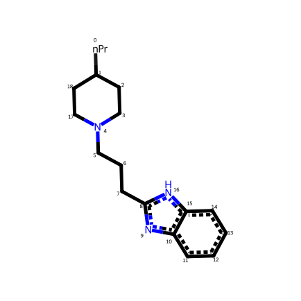 CCCC1CCN(CCCc2nc3ccccc3[nH]2)CC1